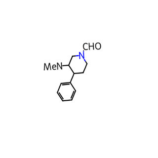 CNC1CN(C=O)CCC1c1ccccc1